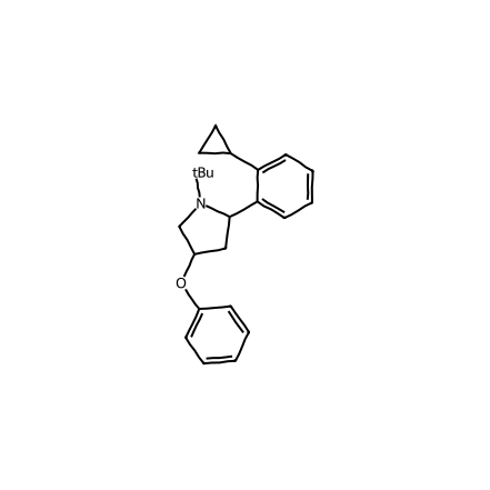 CC(C)(C)N1CC(Oc2ccccc2)CC1c1ccccc1C1CC1